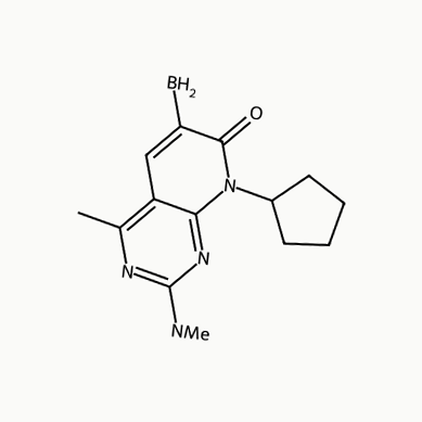 Bc1cc2c(C)nc(NC)nc2n(C2CCCC2)c1=O